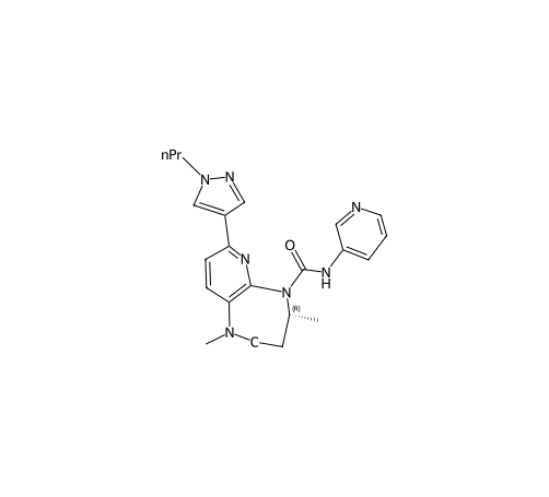 CCCn1cc(-c2ccc3c(n2)N(C(=O)Nc2cccnc2)[C@H](C)CCN3C)cn1